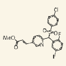 COC(=O)/C=C/c1ccc(C(c2cc(F)ccc2F)S(=O)(=O)c2ccc(Cl)cc2)nc1